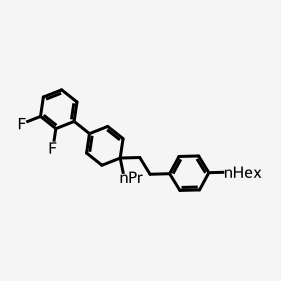 CCCCCCc1ccc(CCC2(CCC)C=CC(c3cccc(F)c3F)=CC2)cc1